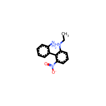 CCNc1cccc([N+](=O)[O-])c1-c1ccccc1N